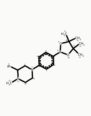 CC(C)C1CN(c2ccc(B3OC(C)(C)C(C)(C)O3)cc2)CCN1C